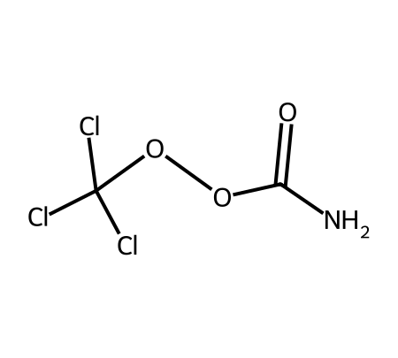 NC(=O)OOC(Cl)(Cl)Cl